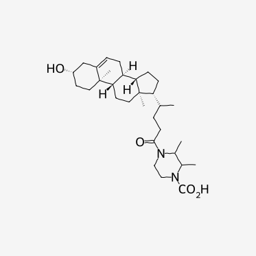 CC(CCC(=O)N1CCN(C(=O)O)C(C)C1C)[C@H]1CC[C@H]2[C@@H]3CC=C4C[C@@H](O)CC[C@]4(C)[C@H]3CC[C@]12C